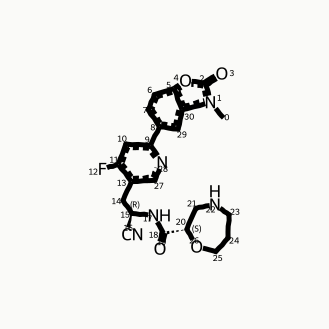 Cn1c(=O)oc2ccc(-c3cc(F)c(C[C@H](C#N)NC(=O)[C@@H]4CNCCCO4)cn3)cc21